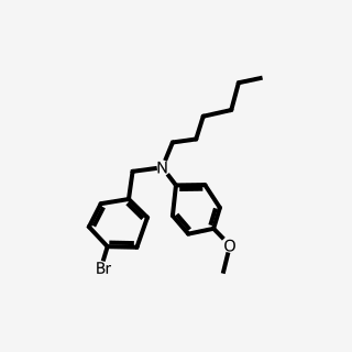 CCCCCCN(Cc1ccc(Br)cc1)c1ccc(OC)cc1